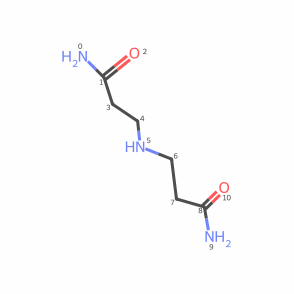 NC(=O)CCNCCC(N)=O